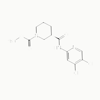 Cc1cc(NC(=O)[C@@H]2CCCN(C(=O)OC(C)(C)C)C2)ncc1Cl